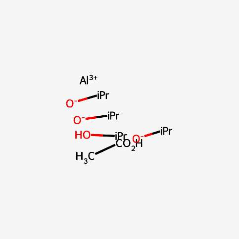 CC(=O)O.CC(C)O.CC(C)[O-].CC(C)[O-].CC(C)[O-].[Al+3]